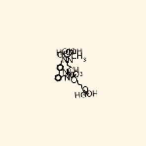 CCCc1nc(C(C)(C)O)c(C(=O)O)n1Cc1ccc(-c2ccccc2-c2nnn(C(=O)OCCCCON(O)O)n2)cc1